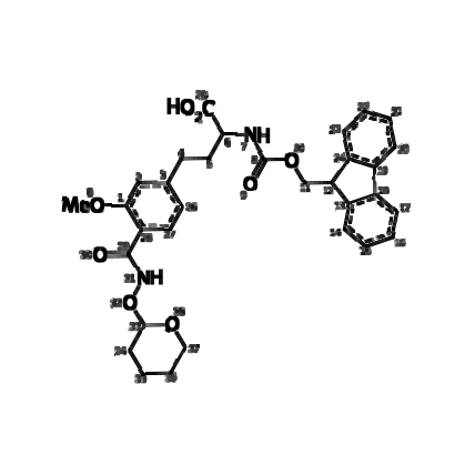 COc1cc(CCC(NC(=O)OCC2c3ccccc3-c3ccccc32)C(=O)O)ccc1C(=O)NOC1CCCCO1